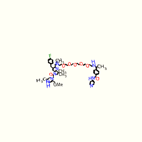 COC[C@H]1CN[C@H](C)CN1CC(=O)N1CC(C)(C)c2nc(CN(C)CCOCCOCCOCCOCCOCCN[C@H](C)c3ccc(C(=O)Nc4ccncc4)cc3)c(Cc3ccc(F)cc3)cc21